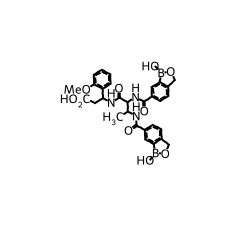 COc1ccccc1C(CC(=O)O)NC(=O)C(NC(=O)c1ccc2c(c1)B(O)OC2)C(C)NC(=O)c1ccc2c(c1)B(O)OC2